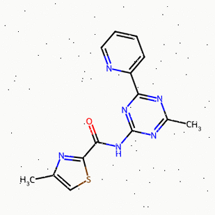 Cc1csc(C(=O)Nc2nc(C)nc(-c3ccccn3)n2)n1